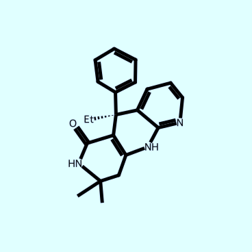 CC[C@@]1(c2ccccc2)C2=C(CC(C)(C)NC2=O)Nc2ncccc21